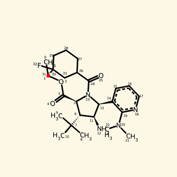 CCOC(=O)[C@@H]1[C@@H](C(C)(C)C)[C@H](N)[C@H](c2cccnc2N(C)C)N1C(=O)C1CCCC(F)(F)C1